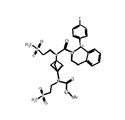 CCCCOC(=O)N(CCS(C)(=O)=O)C12CC(N(CCS(C)(=O)=O)C(=O)N3CCc4ccccc4[C@@H]3c3ccc(F)cc3)(C1)C2